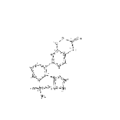 NS(=O)(=O)c1nccc(-c2ccc3c(c2)OCC(=O)N3)c1-c1nn[nH]n1